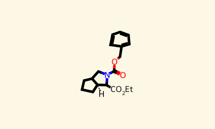 CCOC(=O)C1[C@H]2CCCC2CN1C(=O)OCc1ccccc1